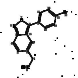 O=CCc1ccc2noc(-c3ccc(Br)cc3)c2c1